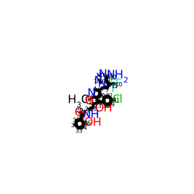 COc1ncc(-c2cc(C(F)(F)F)c3c(N)ncnn23)cc1C(O)(CCCNC(=O)c1ccccc1O)c1ccc(Cl)cc1